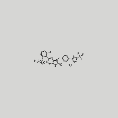 CC(C)c1nccc(F)c1-c1ncc2sc(=O)n(Cc3ccc(-c4nc(C(F)(F)F)cn4C)cc3)c2n1